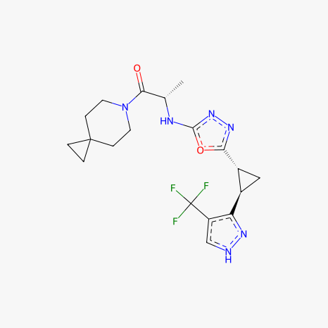 C[C@H](Nc1nnc([C@@H]2C[C@H]2c2n[nH]cc2C(F)(F)F)o1)C(=O)N1CCC2(CC1)CC2